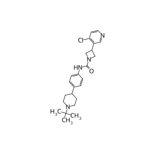 CC(C)(C)N1CCC(c2ccc(NC(=O)N3CC(c4cnccc4Cl)C3)cc2)CC1